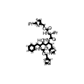 CC(C)c1nc(COC(=O)N[C@H](C(=O)NC(Cc2cncs2)CC(O)C(Cc2ccccc2)NC(=O)OCc2cncs2)C(C)C)cs1